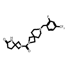 O=C1CCC2(CN(C(=O)N3CC4(CCN(Cc5ccc(C(F)(F)F)cc5F)CC4)C3)C2)N1